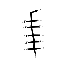 FCC(F)(F)C(F)(F)C(F)(F)C(F)(F)C(F)(F)I